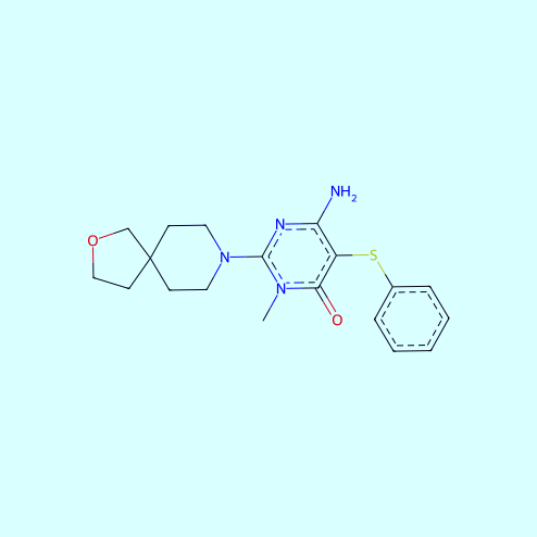 Cn1c(N2CCC3(CCOC3)CC2)nc(N)c(Sc2ccccc2)c1=O